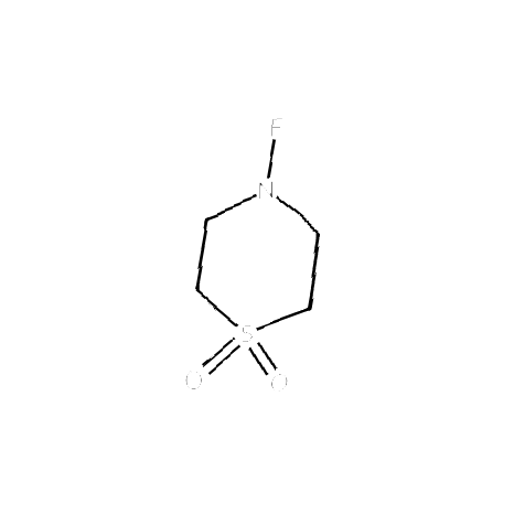 O=S1(=O)CCN(F)CC1